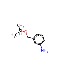 C[SiH](C)OCc1cccc(N)c1